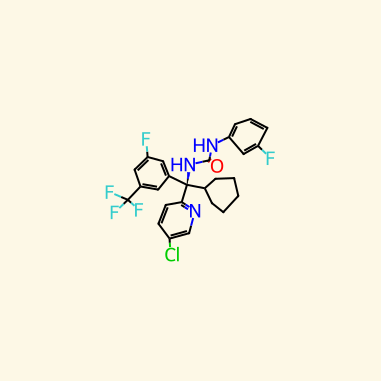 O=C(Nc1cccc(F)c1)N[C@](c1cc(F)cc(C(F)(F)F)c1)(c1ccc(Cl)cn1)C1CCCCC1